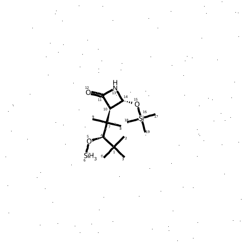 CC(C)(C)[C@@H](O[SiH3])C(C)(C)[C@H]1C(=O)N[C@@H]1O[Si](C)(C)C